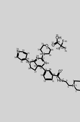 CCN(CC)CCNC(=O)c1cccc(-c2nc(N3CCOCC3)nc3c2CCN3c2ccncc2)c1.O=C(O)C(F)(F)F